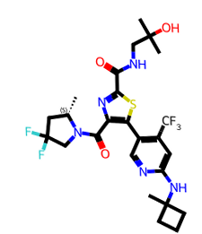 C[C@H]1CC(F)(F)CN1C(=O)c1nc(C(=O)NCC(C)(C)O)sc1-c1cnc(NC2(C)CCC2)cc1C(F)(F)F